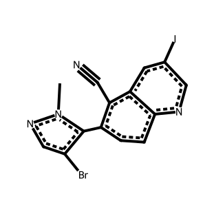 Cn1ncc(Br)c1-c1ccc2ncc(I)cc2c1C#N